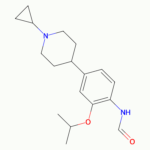 CC(C)Oc1cc(C2CCN(C3CC3)CC2)ccc1NC=O